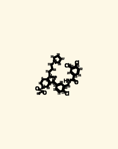 CS(=O)(=O)N1CCc2c(c(-c3ccc(Cl)c(CNC(=O)c4ccc(Cl)c(Cl)c4)c3)nn2CCCN2CCCC2)C1